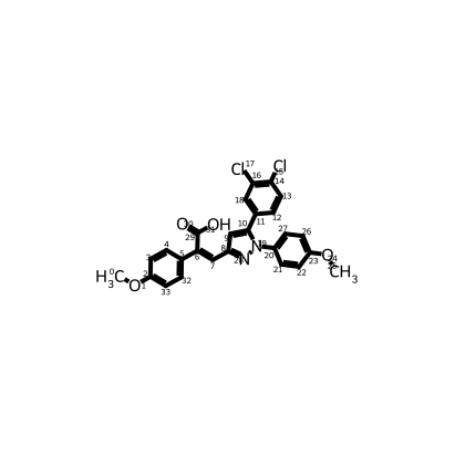 COc1ccc(C(=Cc2cc(-c3ccc(Cl)c(Cl)c3)n(-c3ccc(OC)cc3)n2)C(=O)O)cc1